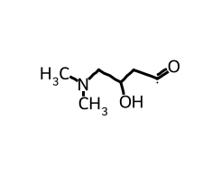 CN(C)CC(O)C[C]=O